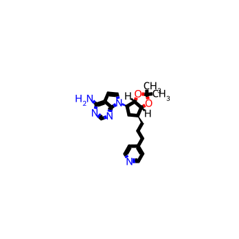 CC1(C)O[C@@H]2[C@@H](CCCc3ccncc3)C[C@@H](n3ccc4c(N)ncnc43)[C@@H]2O1